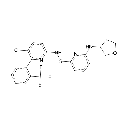 FC(F)(F)c1ccccc1-c1nc(NSc2cccc(NC3CCOC3)n2)ccc1Cl